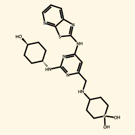 OS1(O)CCC(NCc2cc(Nc3nc4cccnc4s3)nc(N[C@H]3CC[C@H](O)CC3)n2)CC1